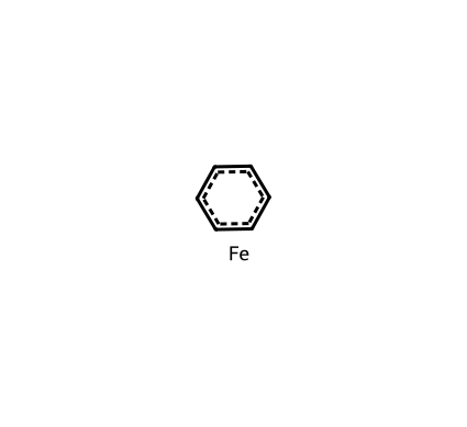 [Fe].c1ccccc1